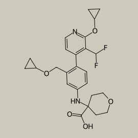 O=C(O)C1(Nc2ccc(-c3ccnc(OC4CC4)c3C(F)F)c(COC3CC3)c2)CCOCC1